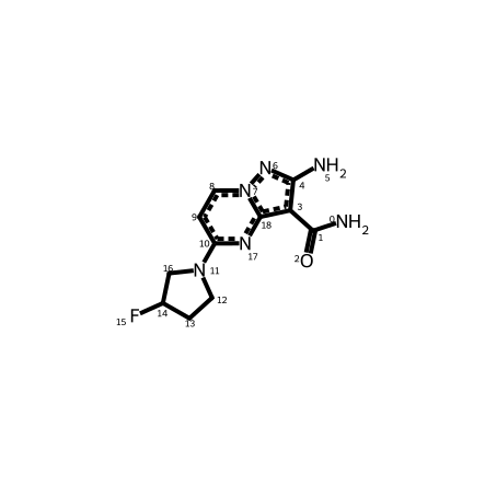 NC(=O)c1c(N)nn2ccc(N3CCC(F)C3)nc12